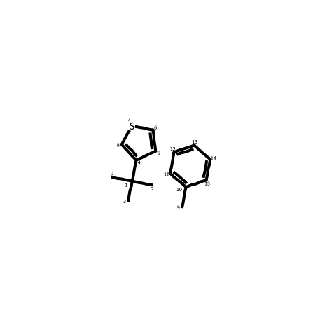 CC(C)(C)c1ccsc1.Cc1ccccc1